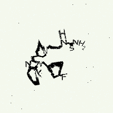 NC(=S)NCCN1CCC(Cc2nc3cccnc3n2Cc2ccc(F)cc2)CC1